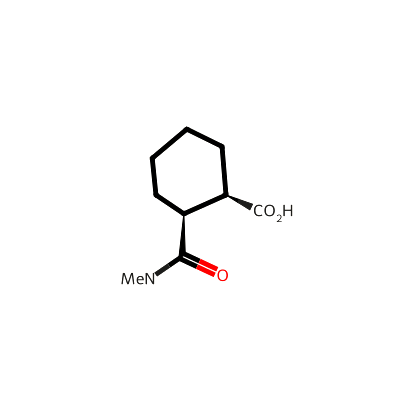 CNC(=O)[C@H]1CCCC[C@H]1C(=O)O